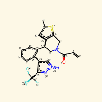 C=CC(=O)N1Cc2sc(C)cc2C(c2ccccc2-c2c[nH]nc2C(F)(F)F)C1